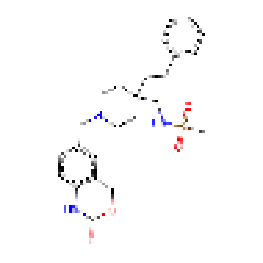 CS(=O)(=O)NCC1(CCc2ccccc2)CCN(Cc2ccc3c(c2)COC(=O)N3)CC1